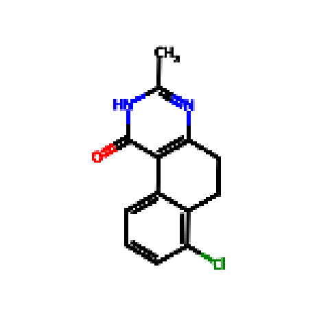 Cc1nc2c(c(=O)[nH]1)-c1cccc(Cl)c1CC2